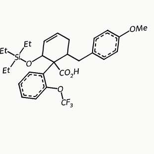 CC[Si](CC)(CC)OC1C=CCC(Cc2ccc(OC)cc2)C1(C(=O)O)c1ccccc1OC(F)(F)F